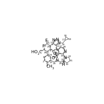 Cc1ccc([C@@H](CC(=O)O)c2ccc3c(nnn3CC3CC3)c2C(F)F)cc1CN1C[C@H]2CCCN2c2ncccc2S1(=O)=O